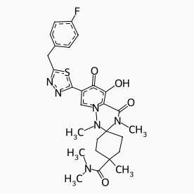 CN(C)C(=O)C1(C)CCC2(CC1)N(C)C(=O)c1c(O)c(=O)c(-c3nnc(Cc4ccc(F)cc4)s3)cn1N2C